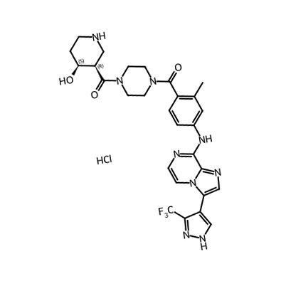 Cc1cc(Nc2nccn3c(-c4c[nH]nc4C(F)(F)F)cnc23)ccc1C(=O)N1CCN(C(=O)[C@@H]2CNCC[C@@H]2O)CC1.Cl